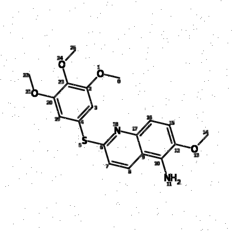 COc1cc(Sc2ccc3c(N)c(OC)ccc3n2)cc(OC)c1OC